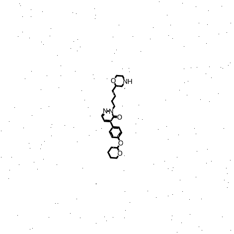 O=c1c(-c2ccc(OC3CCCCO3)cc2)ccnn1CCCCC1CNCCO1